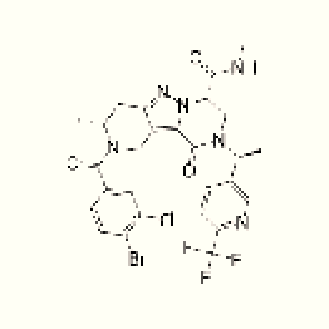 CNC(=O)[C@@H]1CN([C@@H](C)c2ccc(C(F)(F)F)nc2)C(=O)c2c3c(nn21)C[C@@H](C)N(C(=O)c1ccc(Br)c(Cl)c1)C3